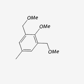 COCc1cc(C)cc(COC)c1OC